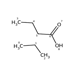 CCC.CCCC(=O)O